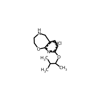 CC(C)C(C)Oc1ccc2c(n1)OCCNC2.Cl